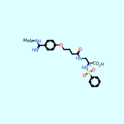 CNNC(=N)c1ccc(OCCCC(=O)NC[C@H](NS(=O)(=O)c2ccccc2)C(=O)O)cc1